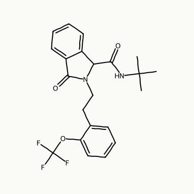 CC(C)(C)NC(=O)C1c2ccccc2C(=O)N1CCc1ccccc1OC(F)(F)F